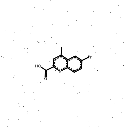 Cc1cc(C(=O)O)nc2ccc(Br)cc12